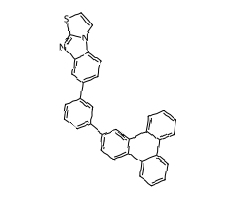 c1cc(-c2ccc3c(c2)nc2sccn23)cc(-c2ccc3c4ccccc4c4ccccc4c3c2)c1